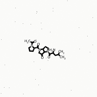 CC(=O)N1CCCC1C(=O)N1CC(=O)C2C1CCN2C(=O)C(N)CC(C)C